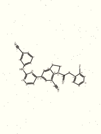 N#Cc1cccc(Nc2nccc(-c3cc(C#N)c4c(c3)CCN4C(=O)Cc3ccccc3F)n2)c1